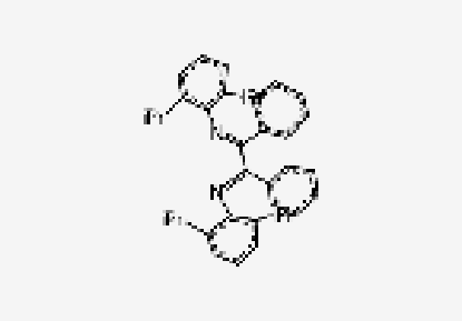 CC(C)c1cccc(C(C)C)c1N=C(C(=Nc1c(C(C)C)cccc1C(C)C)c1ccccc1)c1ccccc1